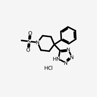 CS(=O)(=O)N1CCC(c2ccccc2)(c2nnn[nH]2)CC1.Cl